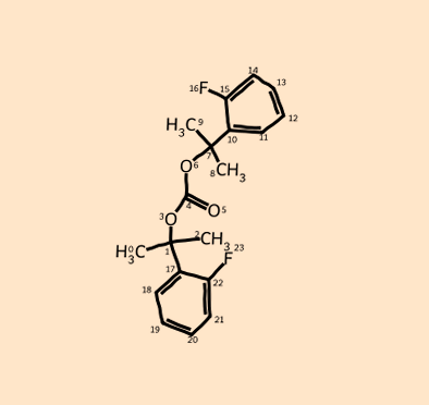 CC(C)(OC(=O)OC(C)(C)c1ccccc1F)c1ccccc1F